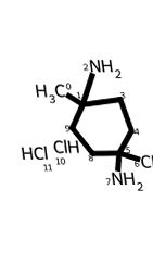 CC1(N)CCC(C)(N)CC1.Cl.Cl